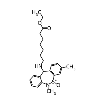 CCOC(=O)CCCCCCNC1c2ccccc2N(C)[S+]([O-])c2cc(C)ccc21